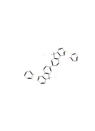 CC1(C)c2cc(-c3ccc4c(c3)C(C)(C)c3ccc5c(c3-4)Sc3ccccc3S5)ccc2-c2c1ccc1c2Oc2ccccc2S1